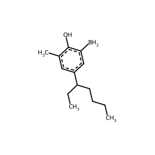 Bc1cc(C(CC)CCCC)cc(C)c1O